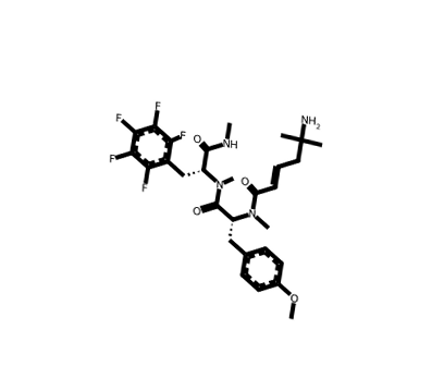 CNC(=O)[C@@H](Cc1c(F)c(F)c(F)c(F)c1F)N(C)C(=O)[C@@H](Cc1ccc(OC)cc1)N(C)C(=O)/C=C/CC(C)(C)N